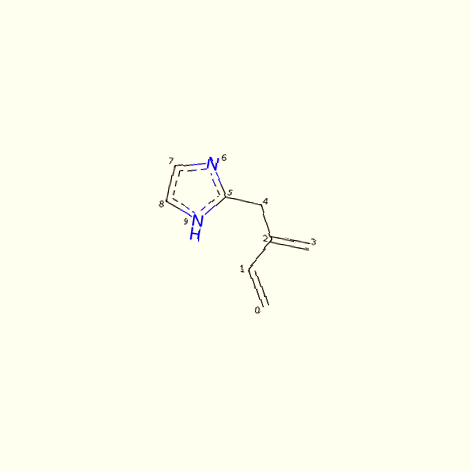 C=CC(=C)Cc1ncc[nH]1